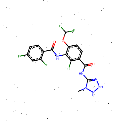 CN1NNN=C1NC(=O)c1ccc(OC(F)F)c(NC(=O)c2ccc(F)cc2F)c1Cl